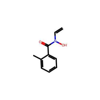 C=CN(O)C(=O)c1ccccc1C